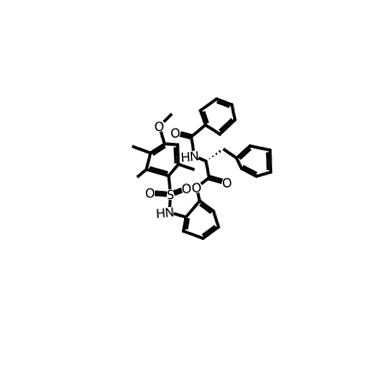 COc1cc(C)c(S(=O)(=O)Nc2ccccc2OC(=O)[C@@H](Cc2ccccc2)NC(=O)c2ccccc2)c(C)c1C